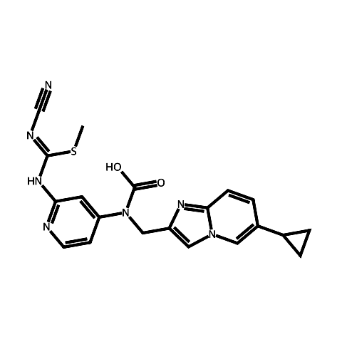 CS/C(=N\C#N)Nc1cc(N(Cc2cn3cc(C4CC4)ccc3n2)C(=O)O)ccn1